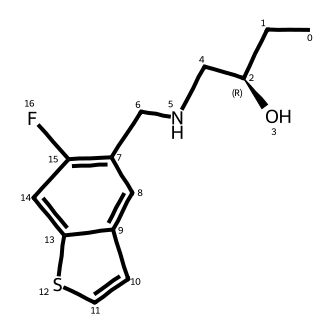 CC[C@@H](O)CNCc1cc2ccsc2cc1F